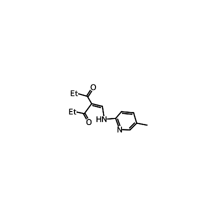 CCC(=O)C(=CNc1ccc(C)cn1)C(=O)CC